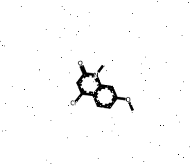 COc1ccc2c(Cl)cc(=O)n(C)c2c1